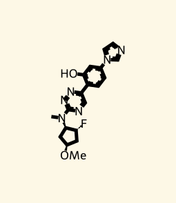 CO[C@@H]1C[C@@H](F)[C@H](N(C)c2ncc(-c3ccc(-n4ccnc4)cc3O)nn2)C1